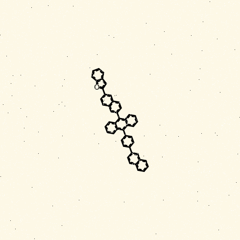 c1ccc2cc(-c3ccc(-c4c5ccccc5c(-c5ccc6cc(-c7cc8ccccc8o7)ccc6c5)c5ccccc45)cc3)ccc2c1